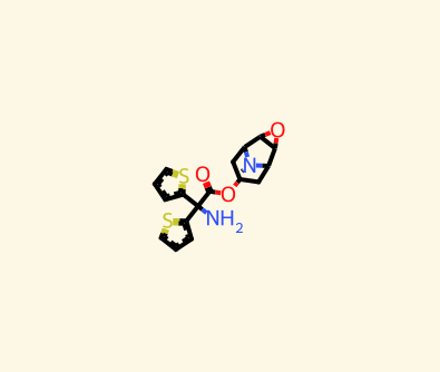 CN1C2CC(OC(=O)C(N)(c3cccs3)c3cccs3)CC1C1OC12